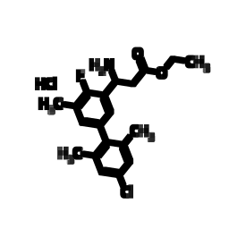 CCOC(=O)CC(N)c1cc(-c2c(C)cc(Cl)cc2C)cc(C)c1F.Cl